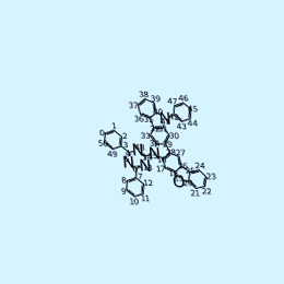 c1ccc(-c2nc(-c3ccccc3)nc(-n3c4cc5oc6ccccc6c5cc4c4cc5c(cc43)c3ccccc3n5-c3ccccc3)n2)cc1